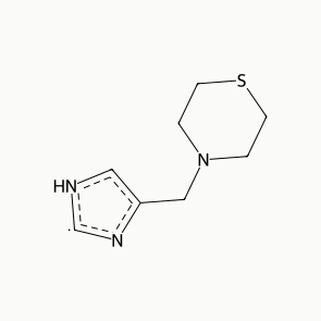 [c]1nc(CN2CCSCC2)c[nH]1